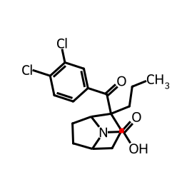 CCCC1(C(=O)c2ccc(Cl)c(Cl)c2)CCC2CCC1N2C(=O)O